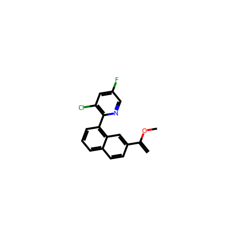 C=C(OC)c1ccc2cccc(-c3ncc(F)cc3Cl)c2c1